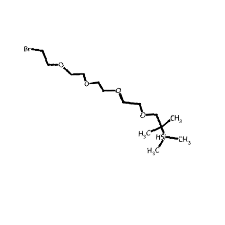 C[SiH](C)C(C)(C)COCCOCCOCCOCCBr